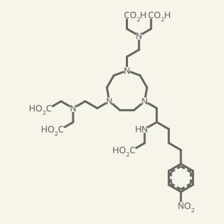 O=C(O)CNC(CCCc1ccc([N+](=O)[O-])cc1)CN1CCN(CCN(CC(=O)O)CC(=O)O)CCN(CCN(CC(=O)O)CC(=O)O)CC1